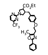 CCOC(=O)[C@@H]1CN(c2nccc(C(F)(F)F)n2)C[C@@H]1Cc1ccc(OCCc2nc(-c3ccccc3)oc2C)cc1